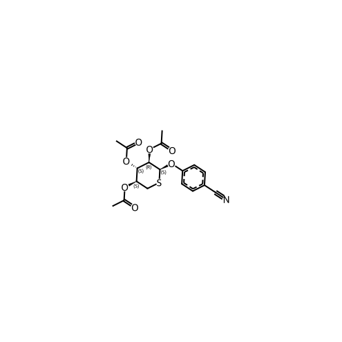 CC(=O)O[C@@H]1[C@@H](OC(C)=O)[C@@H](Oc2ccc(C#N)cc2)SC[C@H]1OC(C)=O